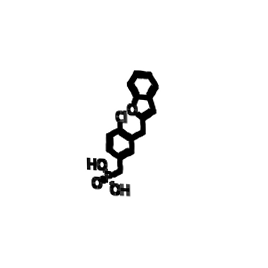 O=P(O)(O)Cc1ccc(Cl)c(Cc2cc3ccccc3o2)c1